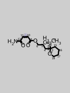 C[SiH](C)C1(CCCOC(=O)/C=C\C(N)=O)CCCCO1